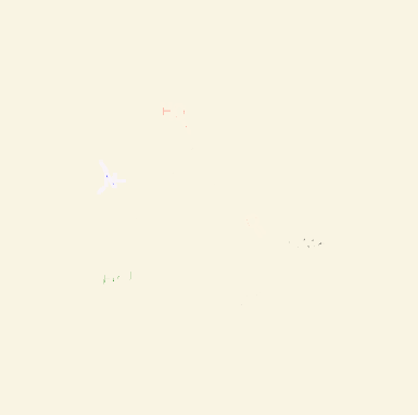 COC(=O)c1cccc(C=C2C=C(c3cccc(O)c3)C(CN(C)C)CC2)c1.Cl